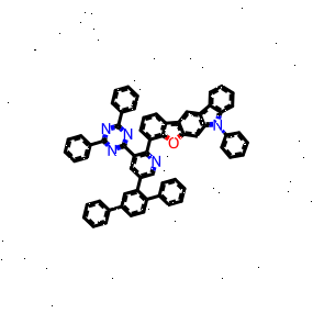 c1ccc(-c2ccc(-c3ccccc3)c(-c3cnc(-c4cccc5c4oc4cc6c(cc45)c4ccccc4n6-c4ccccc4)c(-c4nc(-c5ccccc5)nc(-c5ccccc5)n4)c3)c2)cc1